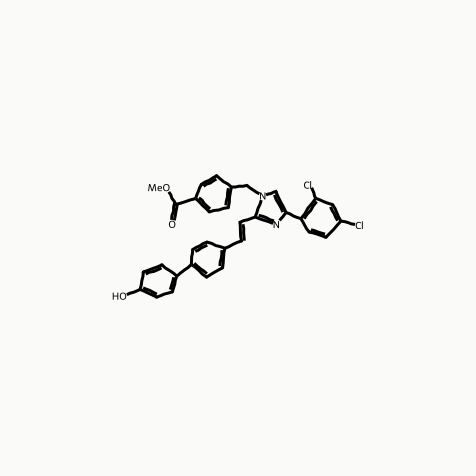 COC(=O)c1ccc(Cn2cc(-c3ccc(Cl)cc3Cl)nc2C=Cc2ccc(-c3ccc(O)cc3)cc2)cc1